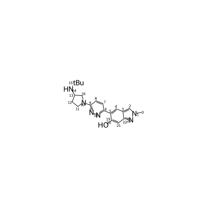 Cn1cc2cc(-c3ccc(N4CCC(NC(C)(C)C)C4)nn3)c(O)cc2n1